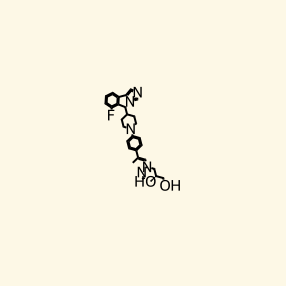 C=NN(/C=C(\C)c1ccc(N2CCC(C3c4c(F)cccc4-c4cncn43)CC2)cc1)C[C@H](O)CO